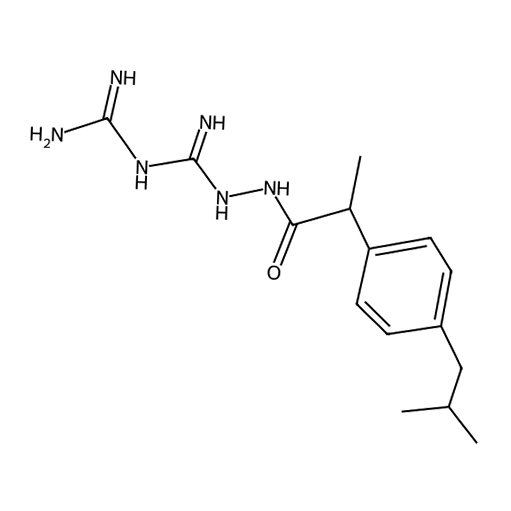 CC(C)Cc1ccc(C(C)C(=O)NNC(=N)NC(=N)N)cc1